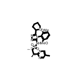 COc1cccc(OC)c1-n1c(NS(=O)(=O)[C@@H](C)[C@H](C)c2ncc(C)cn2)nnc1C1CCCCO1